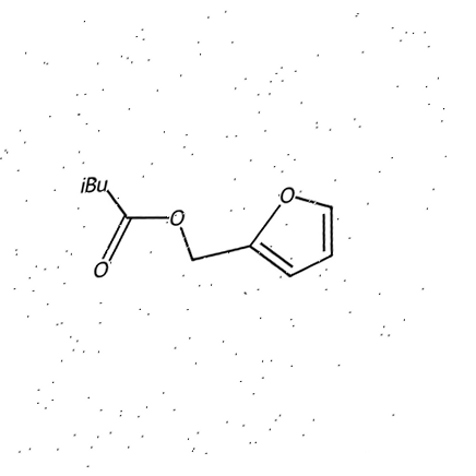 CCC(C)C(=O)OCc1ccco1